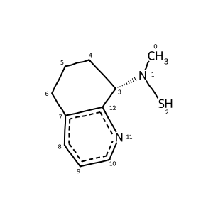 CN(S)[C@H]1CCCc2cccnc21